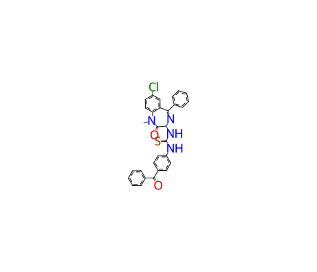 CN1C(=O)C(NC(=S)Nc2ccc(C(=O)c3ccccc3)cc2)N=C(c2ccccc2)c2cc(Cl)ccc21